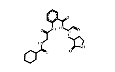 O=C[C@H](CC1CCNC1=O)NC(=O)c1ccccc1NC(=O)CNC(=O)C1CCCCC1